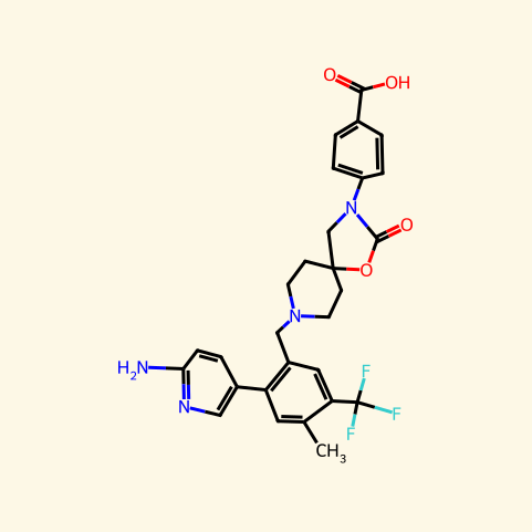 Cc1cc(-c2ccc(N)nc2)c(CN2CCC3(CC2)CN(c2ccc(C(=O)O)cc2)C(=O)O3)cc1C(F)(F)F